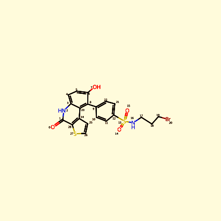 O=c1[nH]c2ccc(O)c(-c3ccc(S(=O)(=O)NCCCBr)cc3)c2c2ccsc12